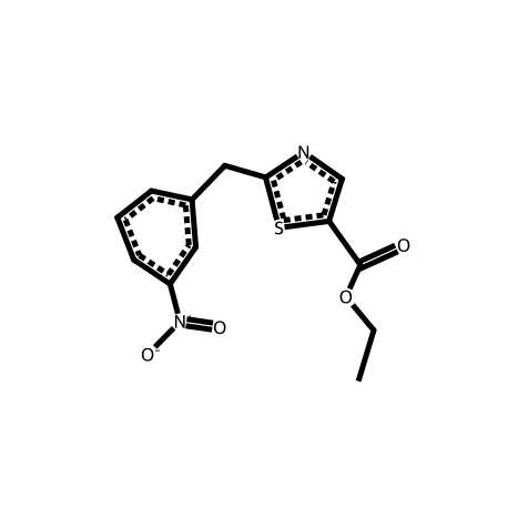 CCOC(=O)c1cnc(Cc2cccc([N+](=O)[O-])c2)s1